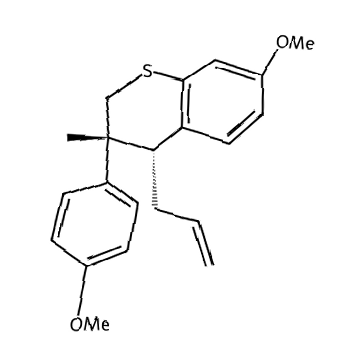 C=CC[C@H]1c2ccc(OC)cc2SC[C@@]1(C)c1ccc(OC)cc1